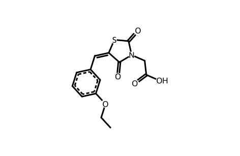 CCOc1cccc(C=C2SC(=O)N(CC(=O)O)C2=O)c1